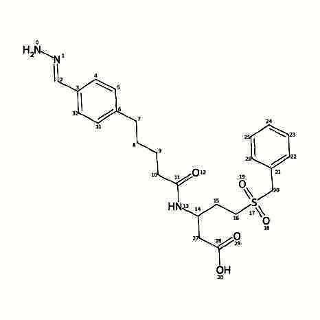 NN=Cc1ccc(CCCCC(=O)NC(CCS(=O)(=O)Cc2ccccc2)CC(=O)O)cc1